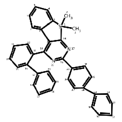 C[Si]1(C)c2ccccc2-c2c(-c3ccccc3-c3ccccc3)nc(-c3ccc(-c4ccccc4)cc3)nc21